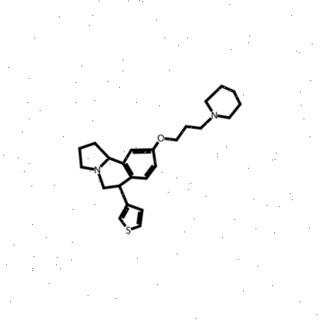 c1cc(C2CN3CCCC3c3cc(OCCCN4CCCCC4)ccc32)cs1